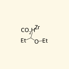 CCOC(CC)C(=O)O.[Zr]